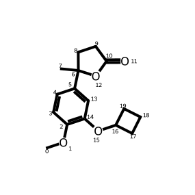 COc1ccc(C2(C)CCC(=O)O2)cc1OC1CCC1